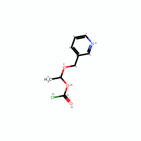 CC(OCc1cccnc1)OC(=O)Cl